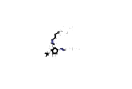 CCCCCC/C=C/[C@H]1C[C@@H]2OC(C)(C)O[C@@H]2[C@@H]1C/C=C\CCC(O)C(=O)O